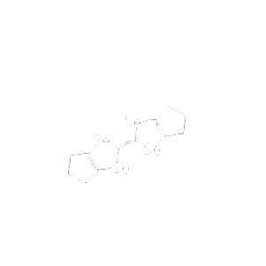 C1CC2=C(C1)[Se]C(=C1[Se]C3=C(CCC3)[Se]1)[Se]2